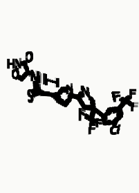 O=C1NOCC1NC(=S)c1ccc(C2=NCC(c3cc(Cl)cc(C(F)(F)F)c3)(C(F)(F)F)C2)nc1